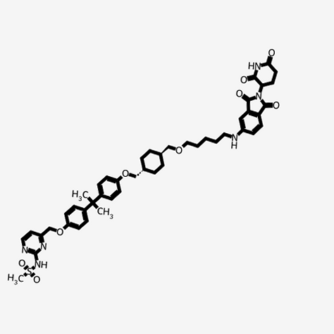 CC(C)(c1ccc(OCc2ccnc(NS(C)(=O)=O)n2)cc1)c1ccc(OC[C@H]2CC[C@H](COCCCCCNc3ccc4c(c3)C(=O)N(C3CCC(=O)NC3=O)C4=O)CC2)cc1